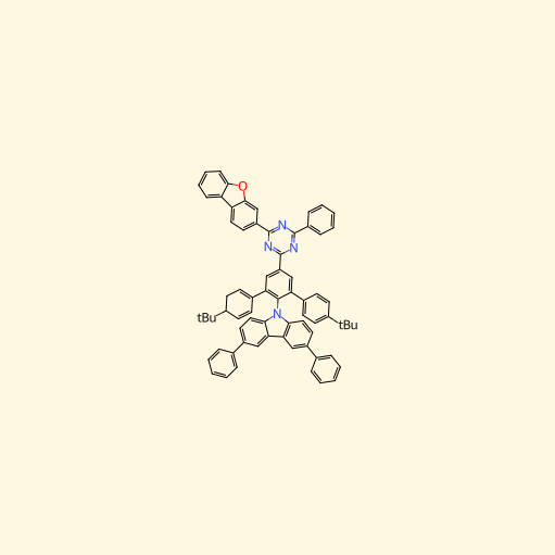 CC(C)(C)c1ccc(-c2cc(-c3nc(-c4ccccc4)nc(-c4ccc5c(c4)oc4ccccc45)n3)cc(C3=CCC(C(C)(C)C)C=C3)c2-n2c3ccc(-c4ccccc4)cc3c3cc(-c4ccccc4)ccc32)cc1